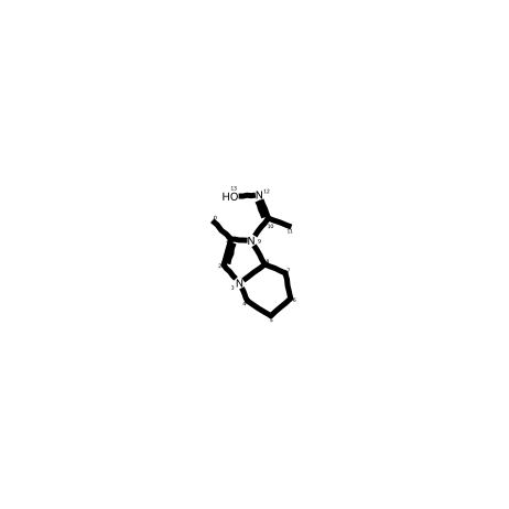 CC1=CN2CCCCC2N1/C(C)=N\O